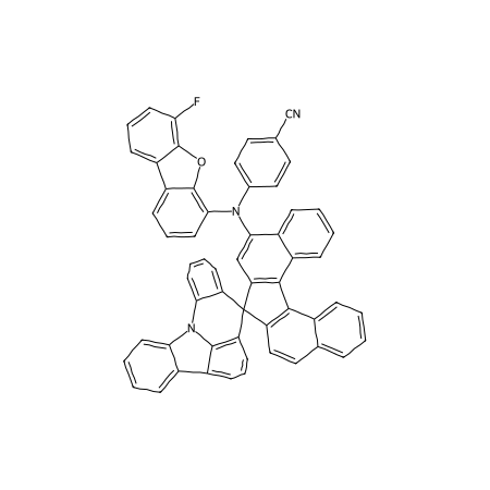 N#Cc1ccc(N(c2cc3c(c4ccccc24)-c2c(ccc4ccccc24)C32c3ccccc3-n3c4ccccc4c4cccc2c43)c2cccc3c2oc2c(F)cccc23)cc1